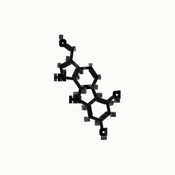 O=Cc1c[nH]c2c1ccc1c2[nH]c2cc(Cl)cc(Cl)c21